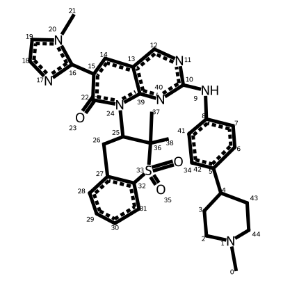 CN1CCC(c2ccc(Nc3ncc4cc(-c5nccn5C)c(=O)n(C5Cc6ccccc6S(=O)(=O)C5(C)C)c4n3)cc2)CC1